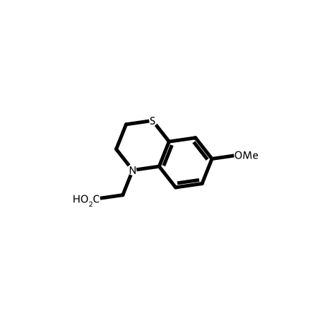 COc1ccc2c(c1)SCCN2CC(=O)O